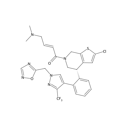 CN(C)C/C=C/C(=O)N1Cc2sc(Cl)cc2[C@H](c2ccccc2-c2cn(Cc3ncno3)nc2C(F)(F)F)C1